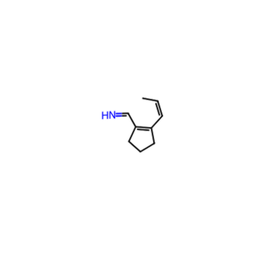 C/C=C\C1=C(C=N)CCC1